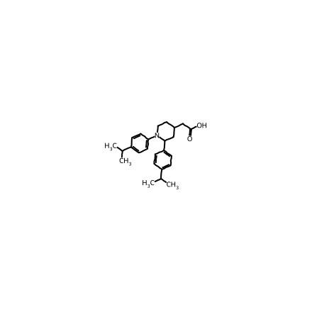 CC(C)c1ccc(C2CC(CC(=O)O)CCN2c2ccc(C(C)C)cc2)cc1